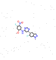 COc1cc(F)c([N+](=O)[O-])cc1Nc1cc(-c2cc3cnn(C)c3cc2F)ncn1